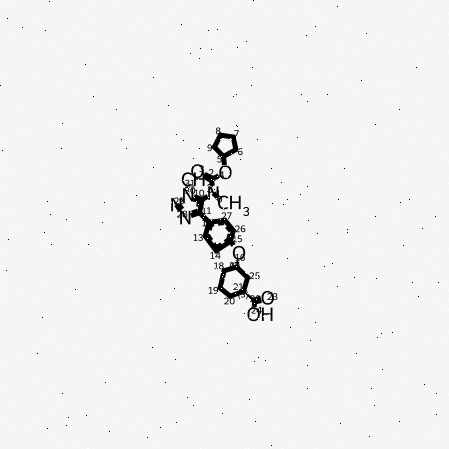 CN(C(=O)OC1CCCC1)c1c(-c2ccc(O[C@H]3CCC[C@H](C(=O)O)C3)cc2)nnn1C